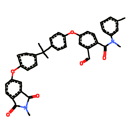 Cc1cccc(N(C)C(=O)c2ccc(Oc3ccc(C(C)(C)c4ccc(Oc5ccc6c(c5)C(=O)N(C)C6=O)cc4)cc3)cc2C=O)c1